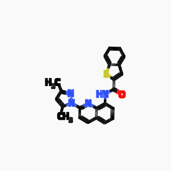 Cc1cc(C)n(-c2ccc3cccc(NC(=O)c4cc5ccccc5s4)c3n2)n1